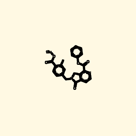 Cc1cc(CN2Cc3c(ccnc3C(=O)Oc3ccccc3)C2=O)ccc1C(=O)OC(C)(C)C